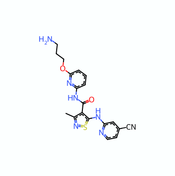 Cc1nsc(Nc2cc(C#N)ccn2)c1C(=O)Nc1cccc(OCCCN)n1